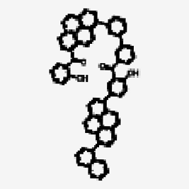 O=C(c1cccc(-c2cccc(-c3ccc4ccc5ccc(C(=O)c6ccccc6O)c6ccc3c4c56)c2)c1)c1cc(-c2ccc3ccc4c(-c5cccc6ccccc56)ccc5ccc2c3c54)ccc1O